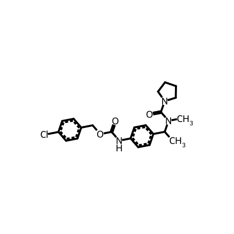 CC(c1ccc(NC(=O)OCc2ccc(Cl)cc2)cc1)N(C)C(=O)N1CCCC1